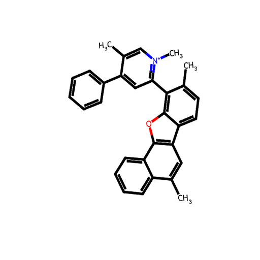 Cc1c[n+](C)c(-c2c(C)ccc3c2oc2c4ccccc4c(C)cc32)cc1-c1ccccc1